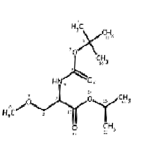 COCC(NC(=O)OC(C)(C)C)C(=O)OC(C)C